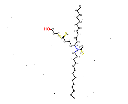 CCCCCCCCCCCCCCN(C(C)=S)C(CCCCCCCCCCC)CCCC(=S)SCCCO